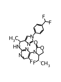 C[C@H](Nc1ncc(F)c(N2C(=O)OCC2[C@H](C)F)n1)c1cn(-c2ccc(C(F)F)cc2)cn1